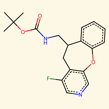 CC(C)(C)OC(=O)NCC1Cc2c(F)cncc2Oc2ccccc21